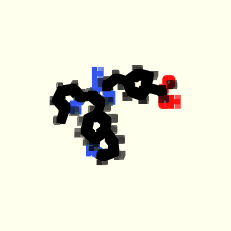 Cc1cccc(-c2[nH]c(Cc3ccc(C(=O)O)cc3)nc2-c2ccc3ncccc3c2)n1